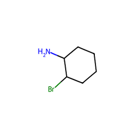 NC1CCCCC1Br